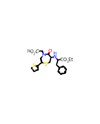 CCOC(=O)C(Cc1ccccc1)NC1CSC(c2cccs2)CN(CC(=O)O)C1=O